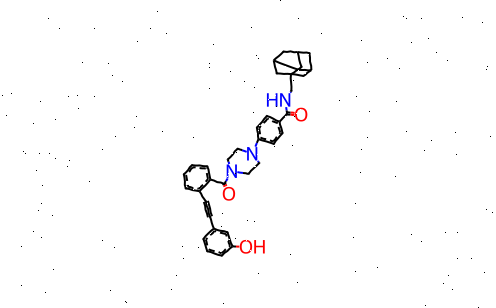 O=C(NCC12CC3CC(CC(C3)C1)C2)c1ccc(N2CCN(C(=O)c3ccccc3C#Cc3cccc(O)c3)CC2)cc1